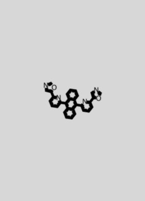 c1cc(-c2cnco2)nc(-c2c3ccccc3c(-c3cccc(-c4cnco4)n3)c3ccccc23)c1